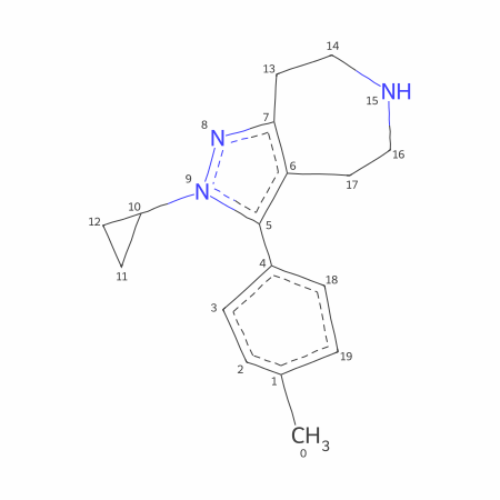 Cc1ccc(-c2c3c(nn2C2CC2)CCNCC3)cc1